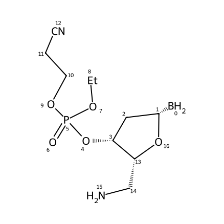 B[C@H]1C[C@@H](OP(=O)(OCC)OCCC#N)[C@@H](CN)O1